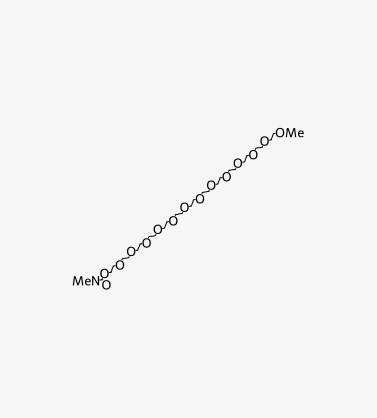 CNC(=O)OCCOCCOCCOCCOCCOCCOCCOCCOCCOCCOCCOCCOCCOC